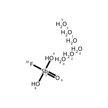 O.O.O.O.O.O.[O]=[Sb]([OH])([OH])[F]